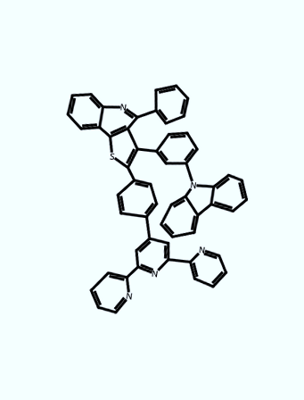 c1ccc(-c2nc3ccccc3c3sc(-c4ccc(-c5cc(-c6ccccn6)nc(-c6ccccn6)c5)cc4)c(-c4cccc(-n5c6ccccc6c6ccccc65)c4)c23)cc1